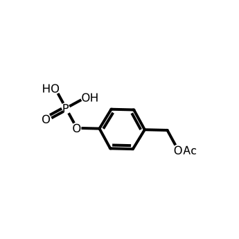 CC(=O)OCc1ccc(OP(=O)(O)O)cc1